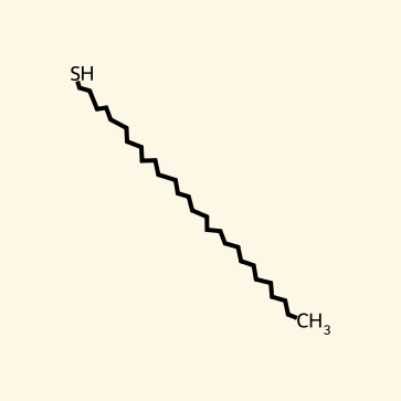 CCCCCCCCCCCCCCCCCCCCCCCCCCCCS